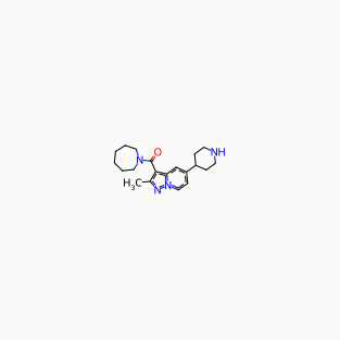 Cc1nn2ccc(C3CCNCC3)cc2c1C(=O)N1CCCCCC1